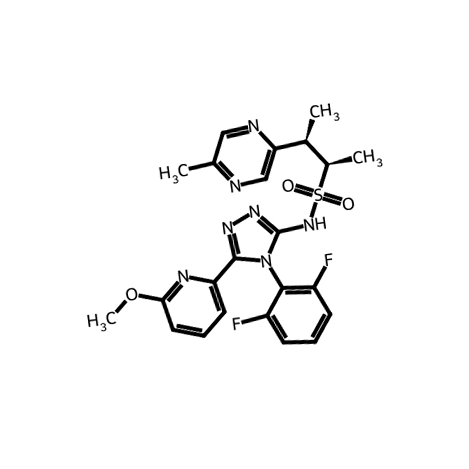 COc1cccc(-c2nnc(NS(=O)(=O)[C@H](C)[C@H](C)c3cnc(C)cn3)n2-c2c(F)cccc2F)n1